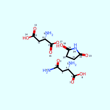 NC(=O)C[C@H](N)C(=O)O.N[C@@H](CC(=O)O)C(=O)O.O=C1CCC(=O)N1